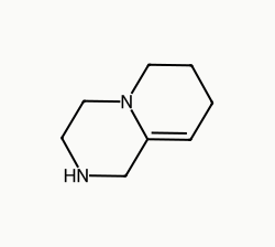 C1=C2CNCCN2CCC1